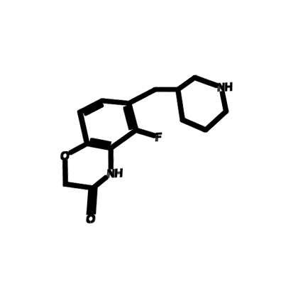 O=C1COc2ccc(CC3CCCNC3)c(F)c2N1